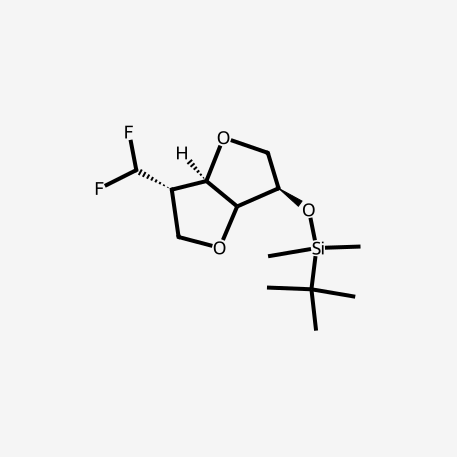 CC(C)(C)[Si](C)(C)O[C@@H]1CO[C@H]2C1OC[C@@H]2C(F)F